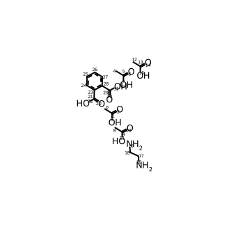 CC(=O)O.CC(=O)O.CC(=O)O.CC(=O)O.NCCN.O=C(O)c1ccccc1C(=O)O